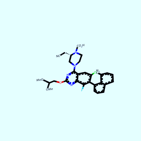 COC(COc1nc(N2CCN(C(=O)O)[C@@H](CC#N)C2)c2cc(Cl)c(-c3cccc4cccc(C)c34)c(F)c2n1)OC